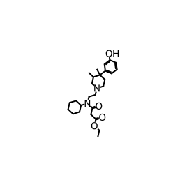 CCOC(=O)CC(=O)N(CCN1CCC(C)(c2cccc(O)c2)C(C)C1)C1CCCCC1